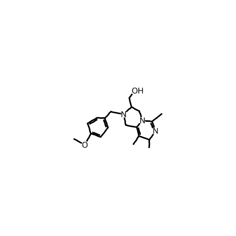 COc1ccc(CN2CC3=C(C)C(C)N=C(C)N3CC2CO)cc1